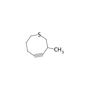 CC1C#CCCCSC1